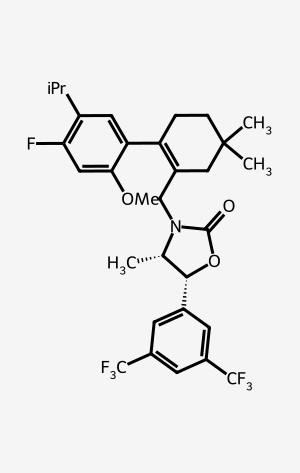 COc1cc(F)c(C(C)C)cc1C1=C(CN2C(=O)O[C@H](c3cc(C(F)(F)F)cc(C(F)(F)F)c3)[C@@H]2C)CC(C)(C)CC1